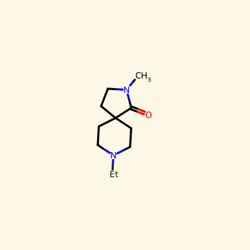 CCN1CCC2(CC1)CCN(C)C2=O